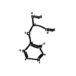 CCCCCCCC(CCCCCCC)Oc1ncncn1